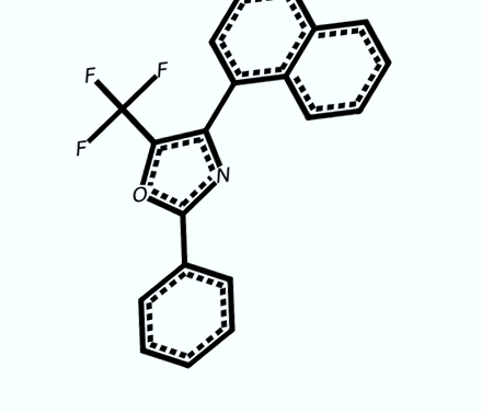 FC(F)(F)c1oc(-c2ccccc2)nc1-c1cccc2ccccc12